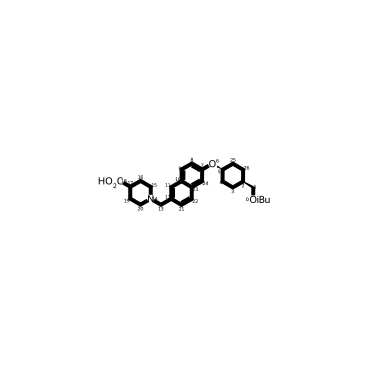 CC(C)COC[C@H]1CC[C@H](Oc2ccc3cc(CN4CCC(C(=O)O)CC4)ccc3c2)CC1